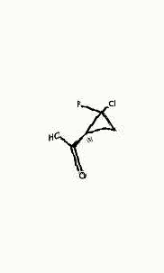 O=C(O)[C@@H]1CC1(F)Cl